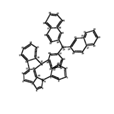 c1ccc(-n2ccc3ccc4c5ccccc5n(-c5cccc(N(c6ccc7ccccc7c6)c6ccc7ccccc7c6)c5)c4c32)cc1